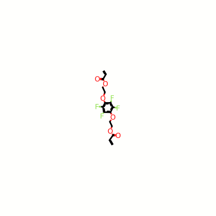 C=CC(=O)OCCOc1c(F)c(F)c(OCCOC(=O)C=C)c(F)c1F